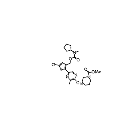 COC(=O)[C@H]1CCC[C@H](Oc2ncc(-c3sc(Cl)cc3COC(=O)N(C)C3CCCC3)nc2C)C1